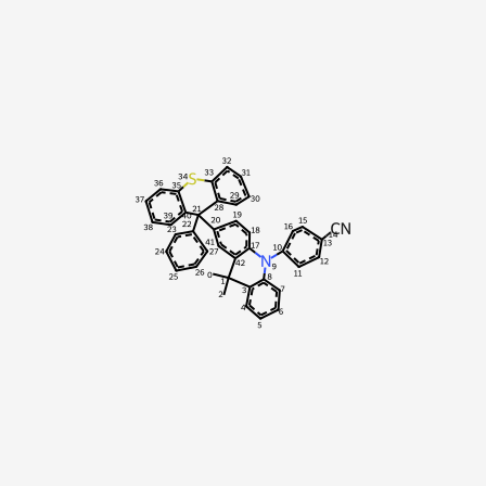 CC1(C)c2ccccc2N(c2ccc(C#N)cc2)c2ccc(C3(c4ccccc4)c4ccccc4Sc4ccccc43)cc21